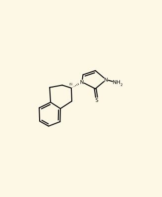 Nn1ccn([C@H]2CCc3ccccc3C2)c1=S